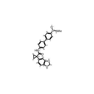 CN[S+]([O-])c1ccc(-c2ccc(NC(=O)C3(c4ccc5c(c4)OCO5)CC3)cc2)cc1